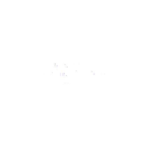 Cc1cc(CCN2CCOCC2)cc2c(=O)[nH]c(-c3cc4ccsc4cn3)nc12.Cl